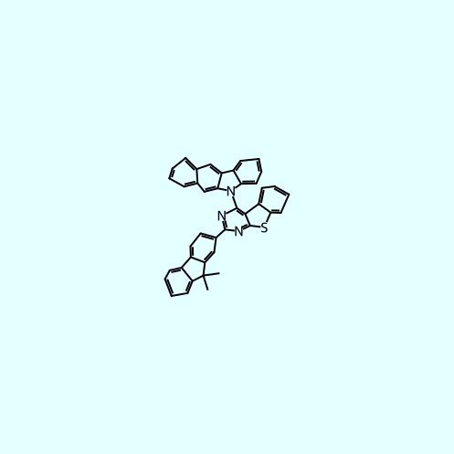 CC1(C)c2ccccc2-c2ccc(-c3nc(-n4c5ccccc5c5cc6ccccc6cc54)c4c(n3)sc3ccccc34)cc21